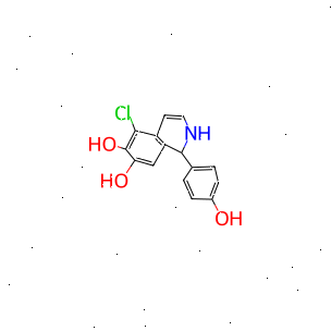 Oc1ccc(C2NC=Cc3c2cc(O)c(O)c3Cl)cc1